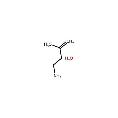 C=C(C)CCC.O